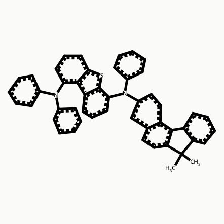 CC1(C)c2ccccc2-c2c1ccc1cc(N(c3ccccc3)c3cccc4c3sc3cccc(N(c5ccccc5)c5ccccc5)c34)ccc21